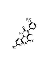 CC1=C(C(N)=O)C(c2ccc(C#N)nc2)NC(=O)N1c1cccc(C(F)(F)F)c1